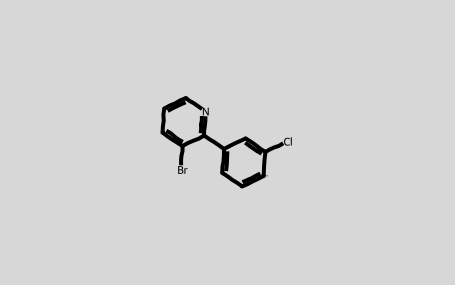 Clc1[c]ccc(-c2ncccc2Br)c1